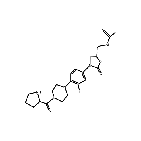 CC(=S)NC[C@H]1CN(c2ccc(N3CCN(C(=S)C4CCCN4)CC3)c(F)c2)C(=O)O1